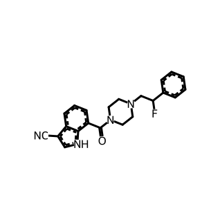 N#Cc1c[nH]c2c(C(=O)N3CCN(CC(F)c4ccccc4)CC3)cccc12